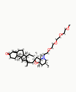 COCCOCCOCCOCCN1C[C@@H](C)C[C@H]2O[C@]3(CC[C@@H]4C(=C(C)C3)C[C@H]3[C@H]4CCC4=CC(=O)CC[C@@H]43)[C@H](C)[C@@H]21